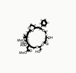 COC(=O)/C=C1\CCC[C@H](CO)OC(=O)C[C@H](O)CCO[C@H](c2ccccc2)C[C@@H]2CCO[C@H](/C=C/C(C)(C)[C@](O)(OC)[C@H]1OC(C)=O)O2